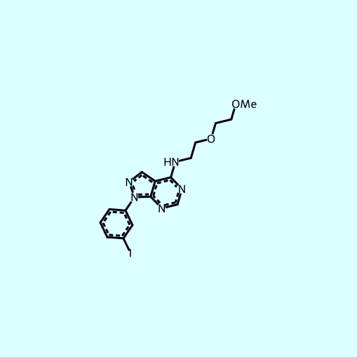 COCCOCCNc1ncnc2c1cnn2-c1cccc(I)c1